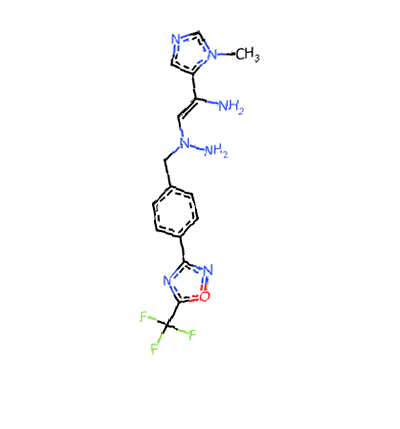 Cn1cncc1/C(N)=C/N(N)Cc1ccc(-c2noc(C(F)(F)F)n2)cc1